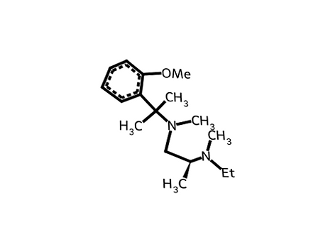 CCN(C)[C@@H](C)CN(C)C(C)(C)c1ccccc1OC